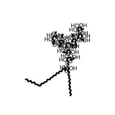 CCCCCCCC/C=C\CCCCCCCCCCCCCCCC(=O)N[C@@H](CO[C@@H]1OC(CO)[C@@H](O[C@@H]2OC(CO)[C@H](O[C@@H]3OC(CO)[C@H](O[C@@H]4OC(CO)[C@H](O)[C@H](O[C@@H]5OC(CO)[C@H](O)[C@H](O)C5O[C@H]5OC(C)[C@@H](O)C(O)[C@@H]5O)C4NC(C)=O)[C@H](O[C@@H]4OC(CO)[C@H](O)[C@H](O[C@H]5OC(CO)[C@H](O)[C@H](O)C5NC(C)=O)C4NC(C)=O)C3O)[C@H](O)C2O)[C@H](O)C1O)[C@H](O)/C=C/CCCCCCCCCCCCC